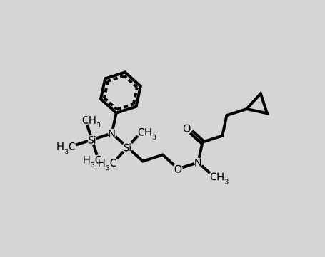 CN(OCC[Si](C)(C)N(c1ccccc1)[Si](C)(C)C)C(=O)CCC1CC1